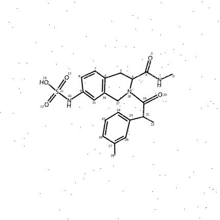 CNC(=O)C1Cc2ccc(NS(=O)(=O)O)cc2CN1C(=O)C(C)c1cccc(C)c1